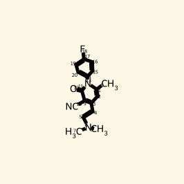 Cc1cc(C=CN(C)C)c(C#N)c(=O)n1-c1ccc(F)cc1